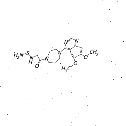 COc1cc2ncnc(N3CCCN(C(=O)CNSN)CC3)c2cc1OC